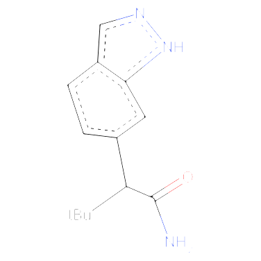 CC(C)(C)C(C(N)=O)c1ccc2cn[nH]c2c1